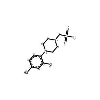 CCS(=O)(=O)CN1CCN(c2ccc(S)cc2Cl)CC1